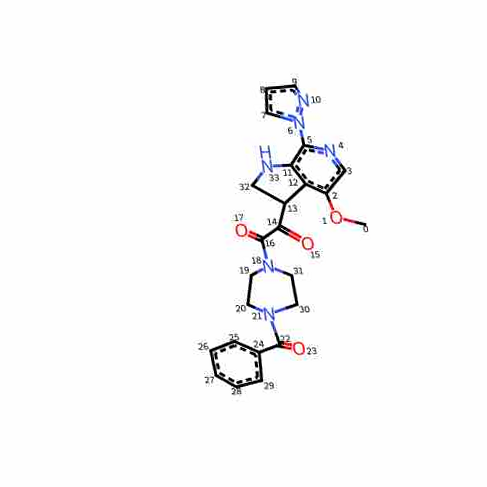 COc1cnc(-n2cccn2)c2c1C(C(=O)C(=O)N1CCN(C(=O)c3ccccc3)CC1)CN2